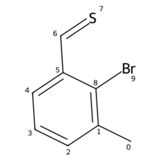 Cc1cccc(C=S)c1Br